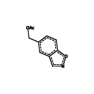 CC(=O)OCc1ccc2oncc2c1